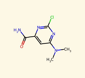 CN(C)c1cc(C(N)=O)nc(Cl)n1